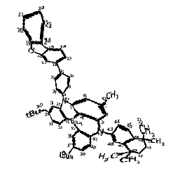 Cc1cc2c3c(c1)N(c1ccc(-c4ccc5c(c4)oc4ccccc45)cc1)c1cc(C(C)(C)C)ccc1B3c1cc(C(C)(C)C)ccc1N2c1ccc2c(c1)C(C)(C)CCC2(C)C